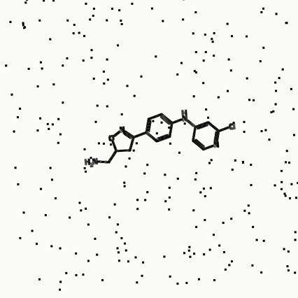 NCC1CC(c2ccc(Nc3ccnc(Cl)c3)cc2)=NO1